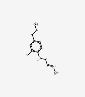 Cc1cc(CCO)ccc1OCC=NO